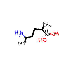 CCCC(N)CCC(C)[SiH](O)O